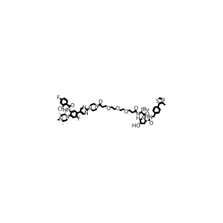 Cc1ncsc1-c1ccc(CNC(=O)[C@@H]2C[C@@H](O)CN2C(=O)C(NC(=O)CCOCCOCCOCCC(=O)N2CCN(c3ncc(-c4cc(NC(=O)c5ccc(F)cc5C(F)(F)F)c(N5C[C@@H](C)N(C)[C@@H](C)C5)cc4F)cn3)CC2)C(C)(C)C)cc1